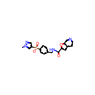 Cn1cc(S(=O)(=O)c2ccc(CNC(=O)c3cc4ccncc4o3)cc2)cn1